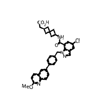 COc1ccc2cc(-c3ccc(Cn4ncc5cc(Cl)cc(C(=O)NC6CC7(CC(CC(=O)O)C7)C6)c54)cc3)ccc2n1